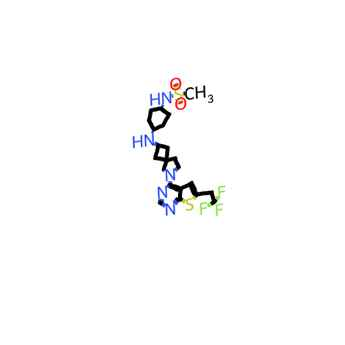 CS(=O)(=O)N[C@H]1CC[C@@H](NC2CC3(CCN(c4ncnc5sc(CC(F)(F)F)cc45)C3)C2)CC1